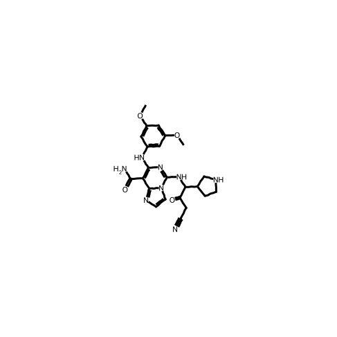 COc1cc(Nc2nc(NC(C(=O)CC#N)C3CCNC3)n3ccnc3c2C(N)=O)cc(OC)c1